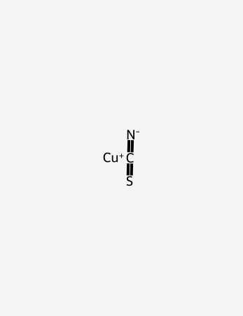 [Cu+].[N-]=C=S